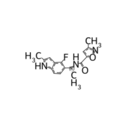 Cc1cc(C(=O)N[C@H](C)c2ccc3[nH]c(C)cc3c2F)on1